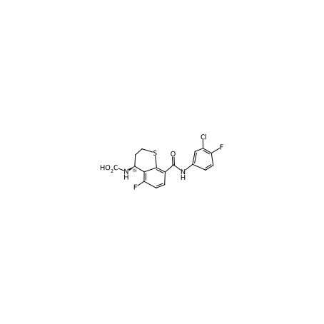 O=C(O)N[C@H]1CCSc2c(C(=O)Nc3ccc(F)c(Cl)c3)ccc(F)c21